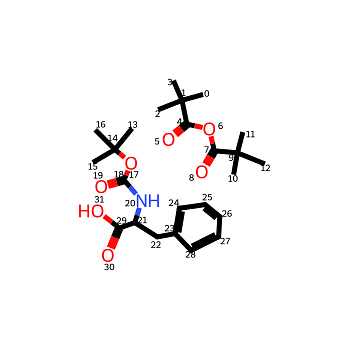 CC(C)(C)C(=O)OC(=O)C(C)(C)C.CC(C)(C)OC(=O)NC(Cc1ccccc1)C(=O)O